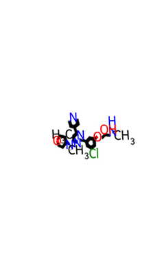 CNCC(O)COc1cc(Cl)cc(-c2nc(-c3ccncc3)c(C)c(N(C)C3CCOCC3)n2)c1